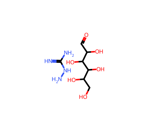 N=C(N)NN.O=CC(O)C(O)C(O)C(O)CO